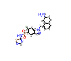 NC1CCc2cccc(Cn3ncc4cc(S(=O)(=O)Nc5ncns5)c(F)cc43)c2C1